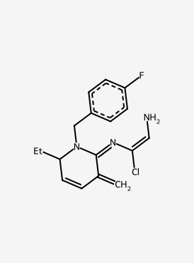 C=C1C=CC(CC)N(Cc2ccc(F)cc2)/C1=N/C(Cl)=C\N